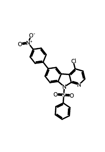 O=[N+]([O-])c1ccc(-c2ccc3c(c2)c2c(Cl)ccnc2n3S(=O)(=O)c2ccccc2)cc1